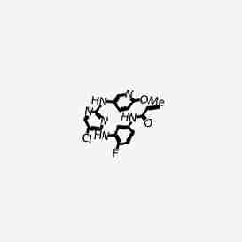 C=CC(=O)Nc1ccc(F)c(Nc2nc(Nc3ccc(OC)nc3)ncc2Cl)c1